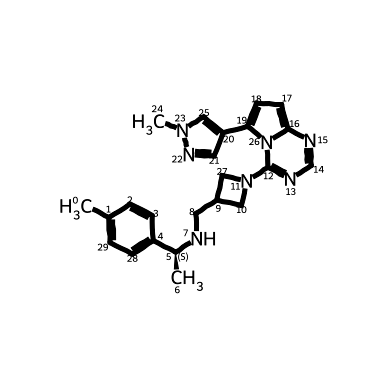 Cc1ccc([C@H](C)NCC2CN(c3ncnc4ccc(-c5cnn(C)c5)n34)C2)cc1